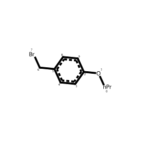 CCCOc1ccc(CBr)cc1